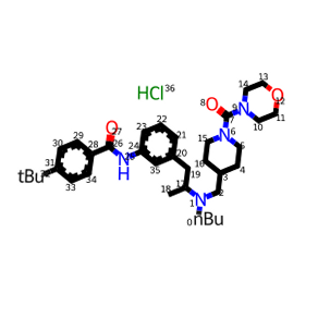 CCCCN(CC1CCN(C(=O)N2CCOCC2)CC1)C(C)Cc1cccc(NC(=O)c2ccc(C(C)(C)C)cc2)c1.Cl